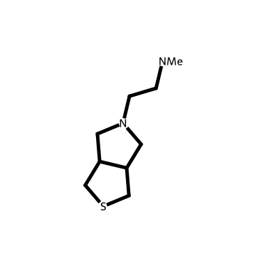 CNCCN1CC2CSCC2C1